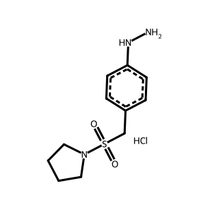 Cl.NNc1ccc(CS(=O)(=O)N2CCCC2)cc1